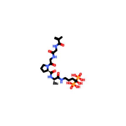 C=C(C)C(=O)NCC(=O)NCC(=O)N1CCC[C@H]1C(=O)N[C@@H](CCCC)C(=O)NCCCC(O)(P(=O)(O)O)P(=O)(O)O